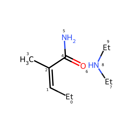 CCC=C(C)C(N)=O.CCNCC